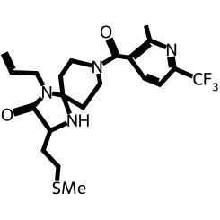 C=CCN1C(=O)C(CCSC)NC12CCN(C(=O)c1ccc(C(F)(F)F)nc1C)CC2